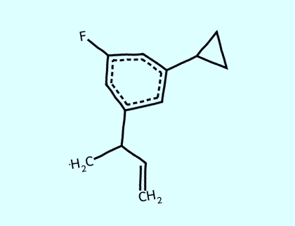 [CH2]C(C=C)c1cc(F)cc(C2CC2)c1